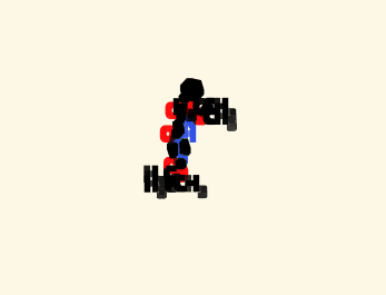 CC(C)(C)OC(=O)CN1CCN(C(=O)CC[C@H](NC(=O)OC(C)(C)C)C(=O)OCc2ccccc2)CC1